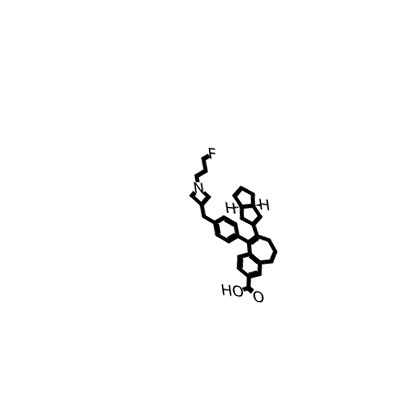 O=C(O)c1ccc2c(c1)CCCC(C1C[C@H]3CCC[C@H]3C1)=C2c1ccc(CC2CN(CCCF)C2)cc1